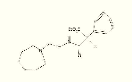 CCOC(=O)C(CC)(C(=O)NCCN1CCCCCC1)c1ccccc1